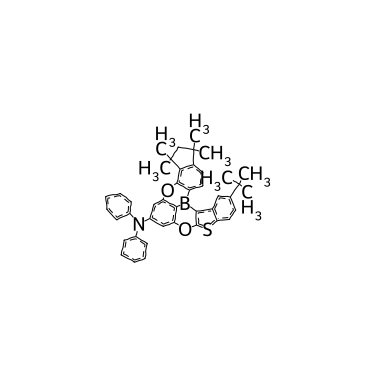 CC(C)(C)c1ccc2sc3c(c2c1)B1c2ccc4c(c2Oc2cc(N(c5ccccc5)c5ccccc5)cc(c21)O3)C(C)(C)CC4(C)C